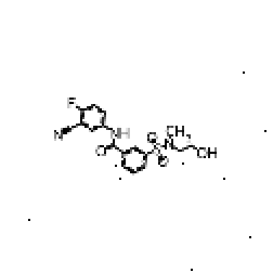 CN(CCO)S(=O)(=O)c1cccc(C(=O)Nc2ccc(F)c(C#N)c2)c1